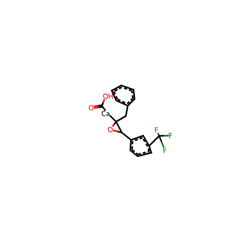 O=[C](O)[Ca][C]1(Cc2ccccc2)OC1c1cccc(C(F)(F)F)c1